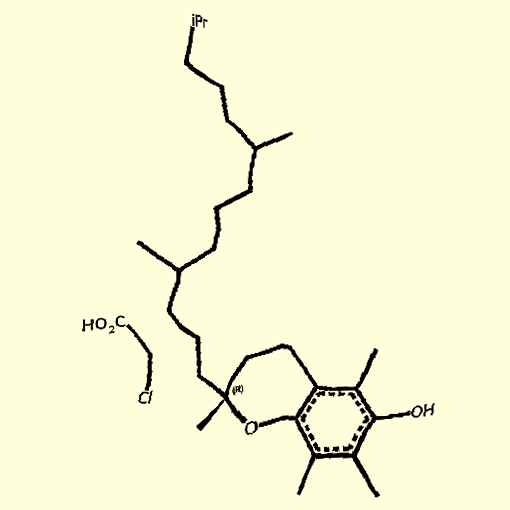 Cc1c(C)c2c(c(C)c1O)CC[C@@](C)(CCCC(C)CCCC(C)CCCC(C)C)O2.O=C(O)CCl